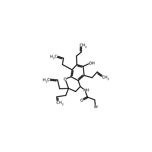 C=CCc1c(O)c(CC=C)c2c(c1CC=C)OC(CC=C)(CC=C)CC2NC(=O)CBr